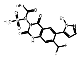 CCCCC(=O)N(n1c(=O)[nH]c2cc(C(F)F)c(-c3ccnn3CC)cc2c1=O)S(C)(=O)=O